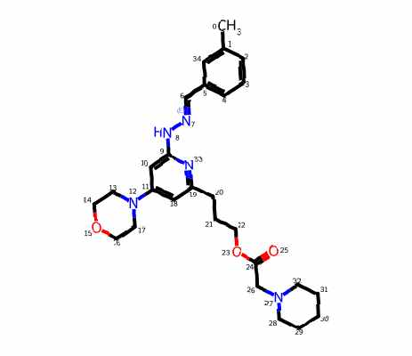 Cc1cccc(/C=N/Nc2cc(N3CCOCC3)cc(CCCOC(=O)CN3CCCCC3)n2)c1